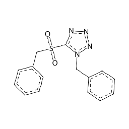 O=S(=O)(Cc1ccccc1)c1nnnn1Cc1ccccc1